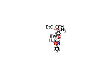 CCOC(=O)C(C)(C)Oc1ccc(OCCc2nc(-c3ccccc3)oc2C)c(CC(C)C)c1